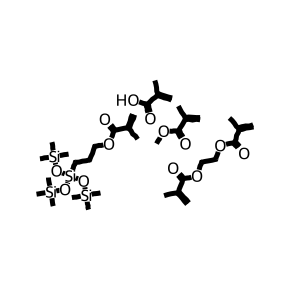 C=C(C)C(=O)O.C=C(C)C(=O)OC.C=C(C)C(=O)OCCC[Si](O[Si](C)(C)C)(O[Si](C)(C)C)O[Si](C)(C)C.C=C(C)C(=O)OCCOC(=O)C(=C)C